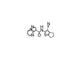 N#Cc1c(NC(=O)c2cnn3cccnc23)sc2c1CCC2